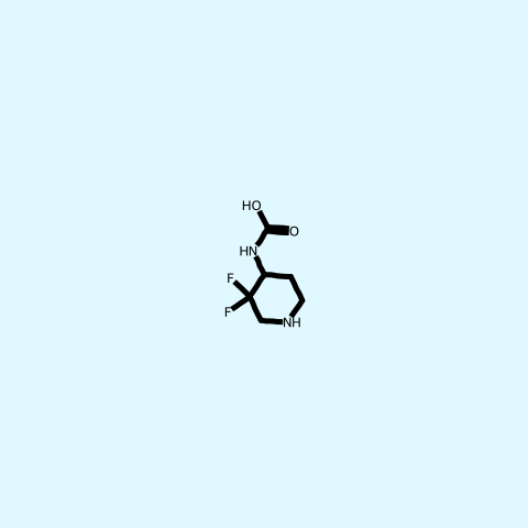 O=C(O)NC1CCNCC1(F)F